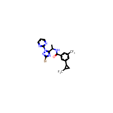 CC(NC(=O)c1cc(C2CC2C(F)(F)F)cc(C(F)(F)F)c1)c1nc(Br)nn1-c1ncccn1